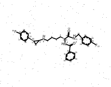 O=C(N[C@@H](CCCCNC1C[C@H]1c1ccc(F)cc1)C(=O)NCc1ccc(F)cc1)c1ccccc1